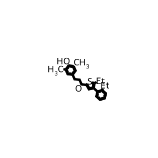 CCc1ccccc1-c1cc(C(=O)CCc2cc(C)c(O)c(C)c2)sc1CC